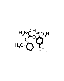 C[C@@H](N)C(=O)O[C@H]1CCCC[C@@H]1C.Cc1ccc(S(=O)(=O)O)cc1